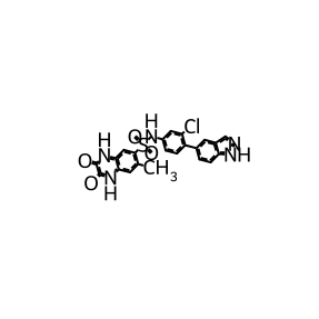 Cc1cc2[nH]c(=O)c(=O)[nH]c2cc1S(=O)(=O)Nc1ccc(-c2ccc3[nH]ncc3c2)c(Cl)c1